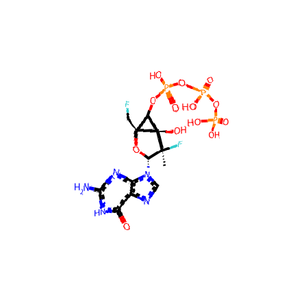 C[C@]1(F)[C@H](n2cnc3c(=O)[nH]c(N)nc32)O[C@]2(CF)C(OP(=O)(O)OP(=O)(O)OP(=O)(O)O)[C@]12O